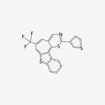 FC(F)(F)C1=CC2=CN=C(c3ccsc3)SC2=c2c(sc3ccccc23)=C1